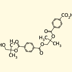 CC(C)(CO)OC(=O)c1ccc(C(=O)OCC(C)(C)OC(=O)c2ccc(C(=O)O)cc2)cc1